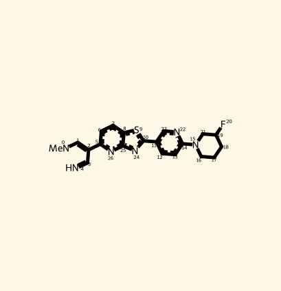 CN/C=C(\C=N)c1ccc2sc(-c3ccc(N4CCCC(F)C4)nc3)nc2n1